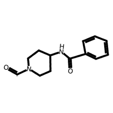 O=[C]N1CCC(NC(=O)c2ccccc2)CC1